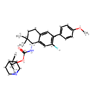 COc1ccc(-c2cc3c(cc2F)[C@H](NC(=O)O[C@@H]2CN4CCC2CC4)C(C)(C)CC3)cc1